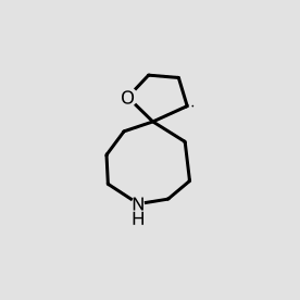 [CH]1CCOC12CCCNCCC2